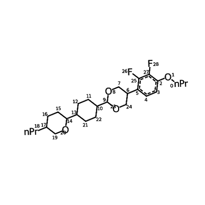 CCCOc1ccc(C2COC(C3CCC(C4CCC(CCC)CO4)CC3)OC2)c(F)c1F